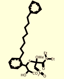 CCN(CC)C(=O)C(C=C=O)(OC)SC(c1ccccc1CCCCCCCCc1ccccc1)C(O)C(=O)O